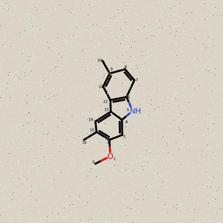 COc1cc2[nH]c3ccc(C)cc3c2cc1C